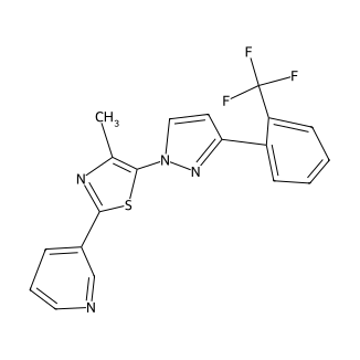 Cc1nc(-c2cccnc2)sc1-n1ccc(-c2ccccc2C(F)(F)F)n1